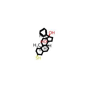 C[C@]12CCC(S)CC1CC[C@@H]1[C@H]2CC[C@]2(C)C(O)(c3ccccc3)CC[C@@]12O